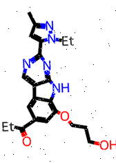 CCC(=O)c1cc(OCCCO)c2[nH]c3nc(-c4cc(C)nn4CC)ncc3c2c1